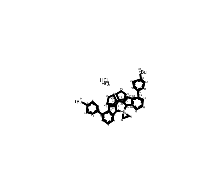 CC(C)(C)c1ccc(-c2cccc3c2C=C(C2CCCC2)[CH]3[Hf]2([CH]3C(C4CCCC4)=Cc4c(-c5ccc(C(C)(C)C)cc5)cccc43)[CH2][CH2]2)cc1.Cl.Cl